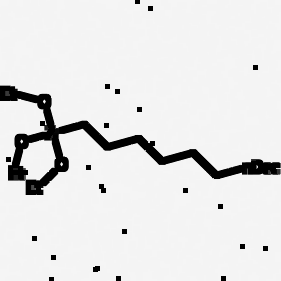 CCCCCCCCCCCCCCC[CH2][Zr]([O]CC)([O]CC)[O]CC